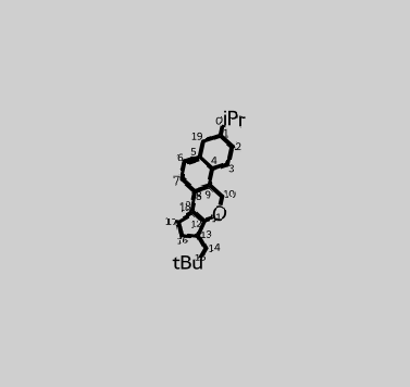 CC(C)C1CCC2C(=CCC3C2COC2C(CC(C)(C)C)CCC32)C1